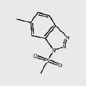 Cc1ccc2nnn(S(C)(=O)=O)c2c1